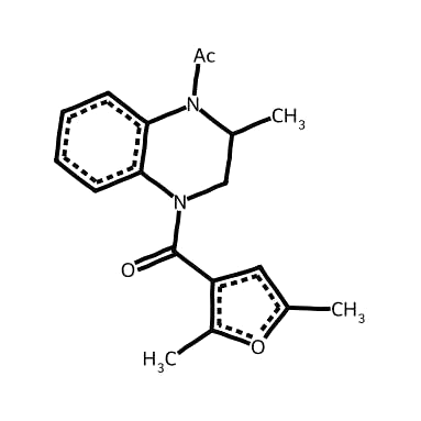 CC(=O)N1c2ccccc2N(C(=O)c2cc(C)oc2C)CC1C